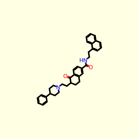 O=C(NCCc1cccc2ccccc12)c1ccc2c(c1)CCC(CCN1CCC(c3ccccc3)CC1)C2=O